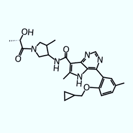 Cc1ccc(OCC2CC2)c(-c2ncnc3c(C(=O)NC4CN(C(=O)[C@H](C)O)CC4C)c(C)[nH]c23)c1